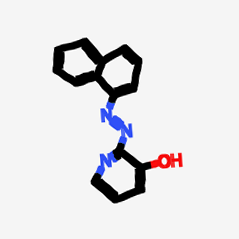 Oc1cccnc1N=Nc1cccc2ccccc12